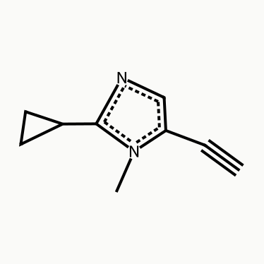 C#Cc1cnc(C2CC2)n1C